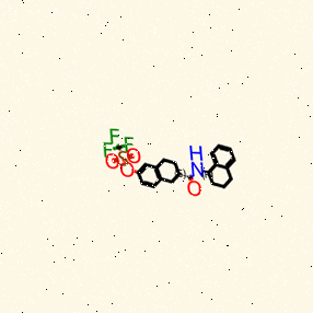 O=C(N[C@@H]1CCCc2ccccc21)[C@H]1CCc2cc(OS(=O)(=O)C(F)(F)F)ccc2C1